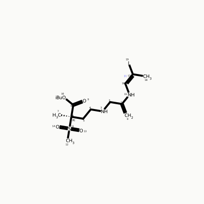 C=C(CNCC[C@](C)(C(=O)OCC(C)C)S(C)(=O)=O)N/C=C(\C)I